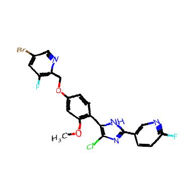 COc1cc(OCc2ncc(Br)cc2F)ccc1-c1[nH]c(-c2ccc(F)nc2)nc1Cl